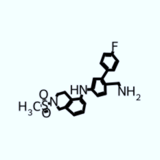 CS(=O)(=O)N1CCc2c(cccc2Nc2ccc(CN)c(-c3ccc(F)cc3)c2)C1